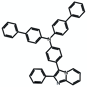 c1ccc(-c2ccc(N(c3ccc(-c4ccccc4)cc3)c3ccc(-c4c(-c5ccccc5)nc5ccccn45)cc3)cc2)cc1